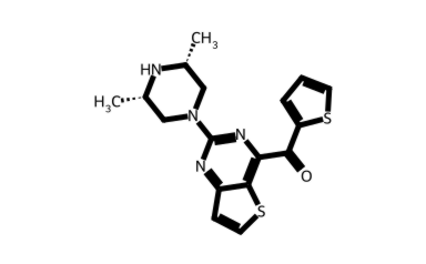 C[C@@H]1CN(c2nc(C(=O)c3cccs3)c3sccc3n2)C[C@H](C)N1